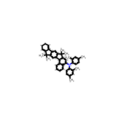 Cc1ccc(N(c2ccc(C)cc2C)c2cc3c(c4ccccc24)-c2cc4c(cc2C3(C)C)C2=CCCC=C2C4(C)C)c(C)c1